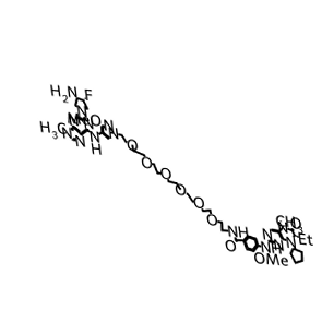 CC[C@@H]1C(=O)N(C)c2cnc(Nc3ccc(C(=O)NCCOCCOCCOCCOCCOCCOCCn4cc(Nc5nc(N6CC(N)[C@H](F)C6)nc6c5ncn6C)c(OC)n4)cc3OC)nc2N1C1CCCC1